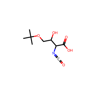 CC(C)(C)OCC(O)C(N=C=O)C(=O)O